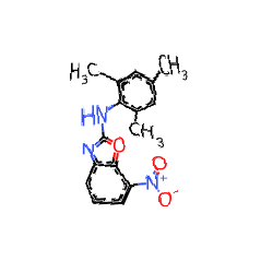 Cc1cc(C)c(Nc2nc3cccc([N+](=O)[O-])c3o2)c(C)c1